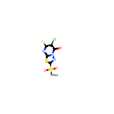 CCCCCCS(=O)(=O)c1nn2c(=O)c(Cl)c(F)nc2s1